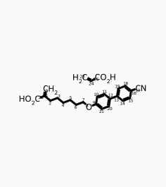 C=C(CCCCCCOc1ccc(-c2ccc(C#N)cc2)cc1)C(=O)O.C=CC(=O)O